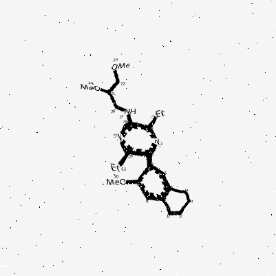 CCc1nc(-c2cc3c(cc2OC)CCCC3)c(CC)nc1NCC(COC)OC